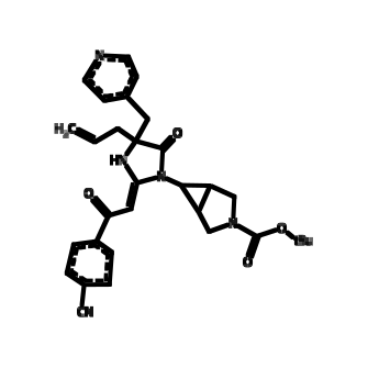 C=CCC1(Cc2ccncc2)NC(=CC(=O)c2ccc(C#N)cc2)N(C2C3CN(C(=O)OC(C)(C)C)CC32)C1=O